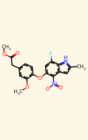 COC(=O)Cc1ccc(Oc2cc(F)c3[nH]c(C)cc3c2[N+](=O)[O-])c(OC)c1